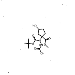 COC(=O)C1(N(NC(=O)O)C(=O)OC(C)(C)C)CCC(O)C1